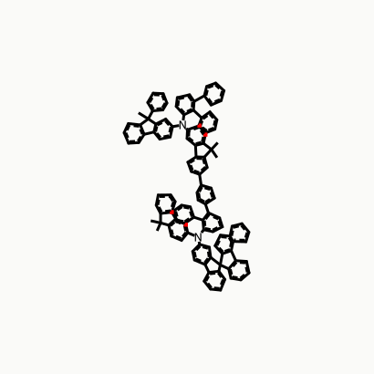 CC1(C)c2ccccc2-c2cc(N(c3ccc4c(c3)C3(c5ccccc5-4)c4ccccc4-c4c3ccc3ccccc43)c3cccc(-c4ccc(-c5ccc6c(c5)C(C)(C)c5ccc(N(c7ccc8c(c7)C(C)(c7ccccc7)c7ccccc7-8)c7cccc(-c8ccccc8)c7-c7ccccc7)cc5-6)cc4)c3-c3ccccc3)ccc21